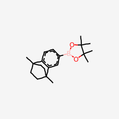 CC12CCC(C)(CC1)c1cc(B3OC(C)(C)C(C)(C)O3)ccc12